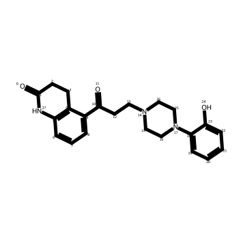 O=C1CCc2c(cccc2C(=O)CCN2CCN(c3ccccc3O)CC2)N1